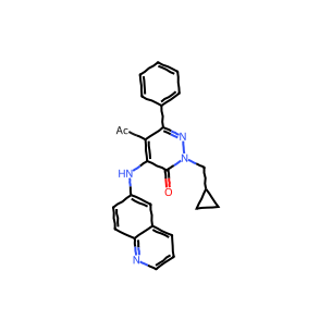 CC(=O)c1c(-c2ccccc2)nn(CC2CC2)c(=O)c1Nc1ccc2ncccc2c1